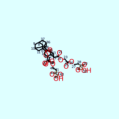 O=C(COC(=O)C12CC3CC(C1)C(C14CC5C(=O)OC(C(=O)OCC(=O)OCCS(=O)(=O)O)(C1)C5C4)C(C3)C2)OCCS(=O)(=O)O